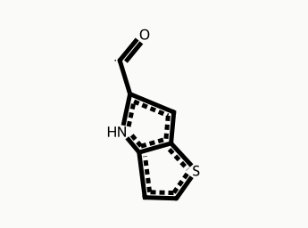 O=[C]c1cc2sccc2[nH]1